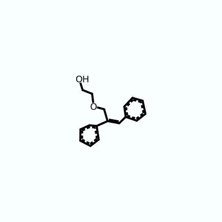 OCCOCC(=Cc1ccccc1)c1ccccc1